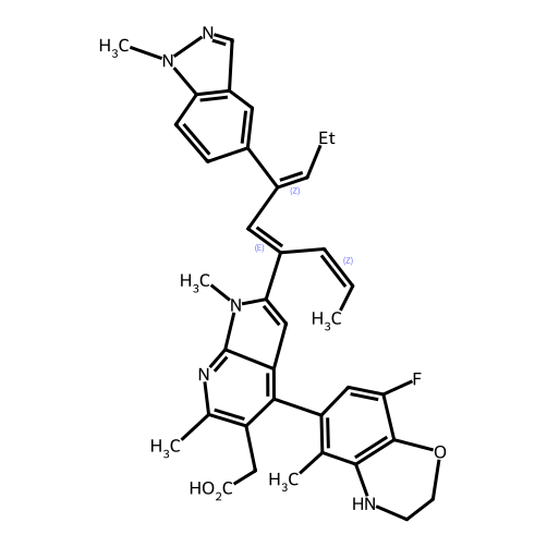 C\C=C/C(=C\C(=C\CC)c1ccc2c(cnn2C)c1)c1cc2c(-c3cc(F)c4c(c3C)NCCO4)c(CC(=O)O)c(C)nc2n1C